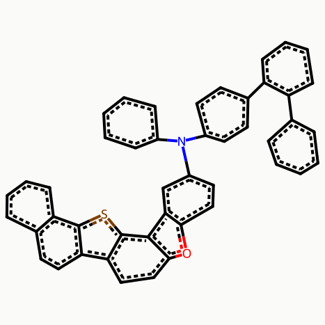 c1ccc(-c2ccccc2-c2ccc(N(c3ccccc3)c3ccc4oc5ccc6c7ccc8ccccc8c7sc6c5c4c3)cc2)cc1